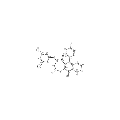 Cc1ccc(-c2c3c(c(=O)n4c2C(=O)N(Cc2cc(C(F)(F)F)cc(C(F)(F)F)c2)C[C@@H](C)C4)NCC=C3)cc1